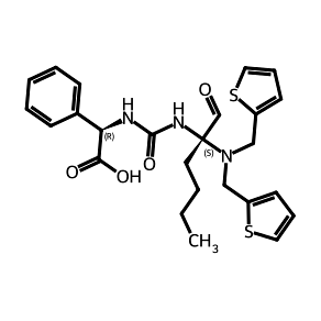 CCCC[C@](C=O)(NC(=O)N[C@@H](C(=O)O)c1ccccc1)N(Cc1cccs1)Cc1cccs1